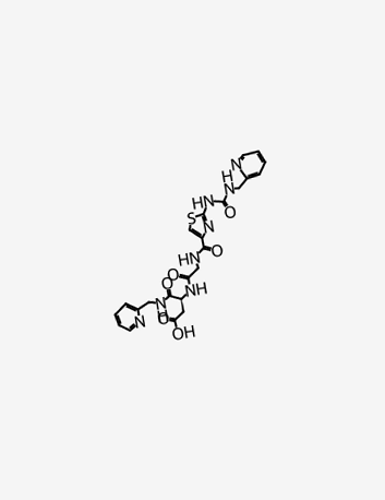 O=C(O)C[C@H](NC(=O)CNC(=O)c1csc(NC(=O)NCc2ccccn2)n1)C(=O)NCc1ccccn1